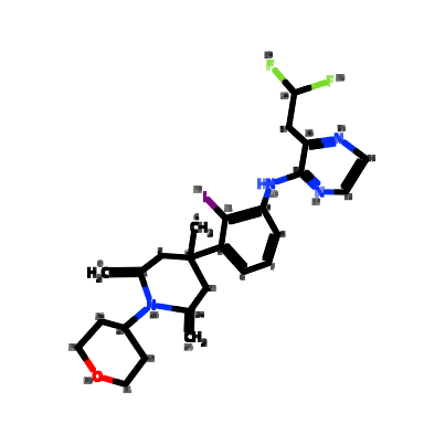 C=C1CC(C)(c2cccc(Nc3nccnc3CC(F)F)c2I)CC(=C)N1C1CCOCC1